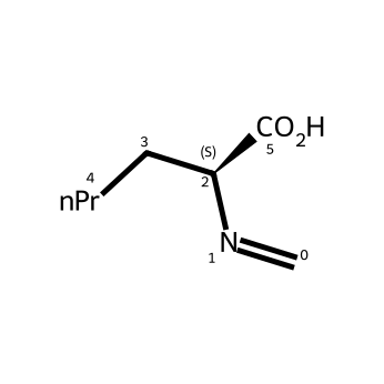 C=N[C@@H](CCCC)C(=O)O